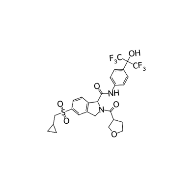 O=C(Nc1ccc(C(O)(C(F)(F)F)C(F)(F)F)cc1)C1c2ccc(S(=O)(=O)CC3CC3)cc2CN1C(=O)C1CCOC1